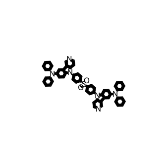 O=S(=O)(c1ccc(-n2c3ccncc3c3cc(N(c4ccccc4)c4ccccc4)ccc32)cc1)c1ccc(-n2c3ccncc3c3cc(N(c4ccccc4)c4ccccc4)ccc32)cc1